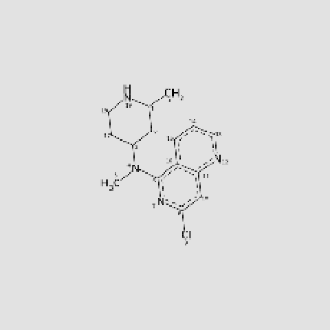 CC1CC(N(C)c2nc(Cl)cc3ncccc23)CCN1